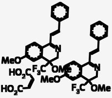 COc1ccc2c(c1)C(OC)(C(F)(F)F)CN=C2C=Cc1ccccc1.COc1ccc2c(c1)C(OC)(C(F)(F)F)CN=C2C=Cc1ccccc1.O=C(O)/C=C\C(=O)O